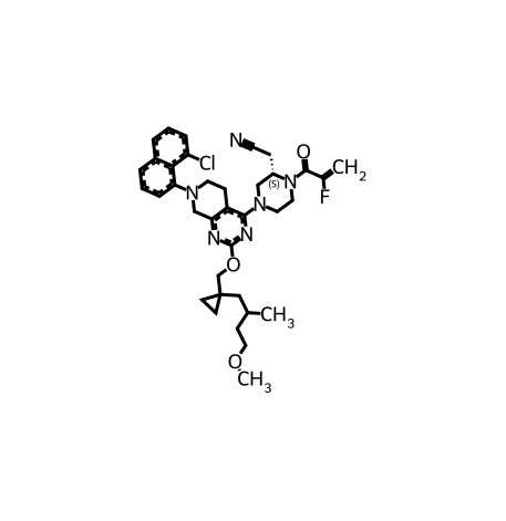 C=C(F)C(=O)N1CCN(c2nc(OCC3(CC(C)CCOC)CC3)nc3c2CCN(c2cccc4cccc(Cl)c24)C3)C[C@@H]1CC#N